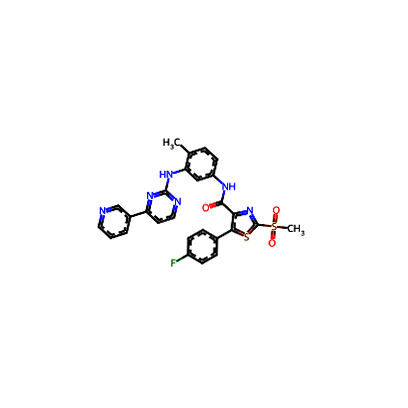 Cc1ccc(NC(=O)c2nc(S(C)(=O)=O)sc2-c2ccc(F)cc2)cc1Nc1nccc(-c2cccnc2)n1